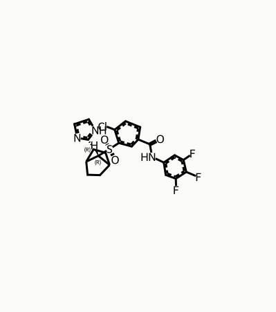 O=C(Nc1cc(F)c(F)c(F)c1)c1ccc(Cl)c(S(=O)(=O)[C@@H]2C3CCC2[C@H](c2ncc[nH]2)C3)c1